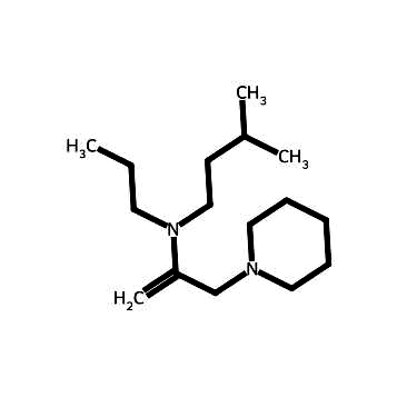 C=C(CN1CCCCC1)N(CCC)CCC(C)C